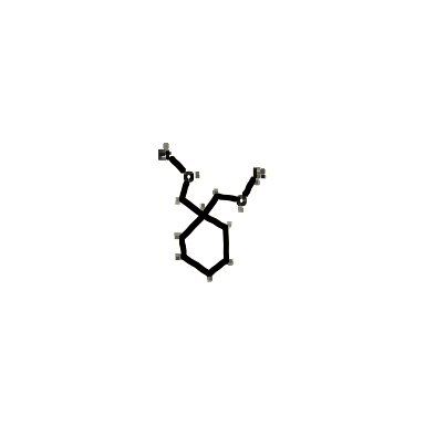 CCOCC1(COCC)C[CH]CCC1